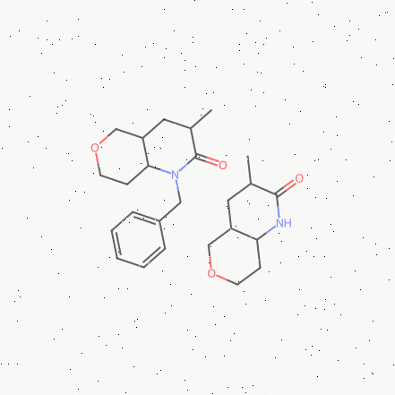 CC1CC2COCCC2N(Cc2ccccc2)C1=O.CC1CC2COCCC2NC1=O